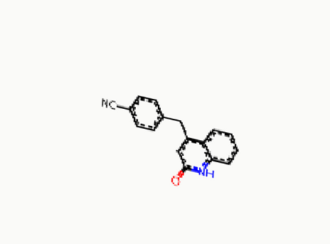 N#Cc1ccc(Cc2cc(=O)[nH]c3ccccc23)cc1